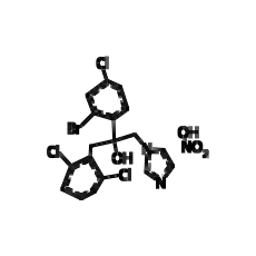 O=[N+]([O-])O.OC(Cc1c(Cl)cccc1Cl)(Cn1ccnc1)c1ccc(Cl)cc1Br